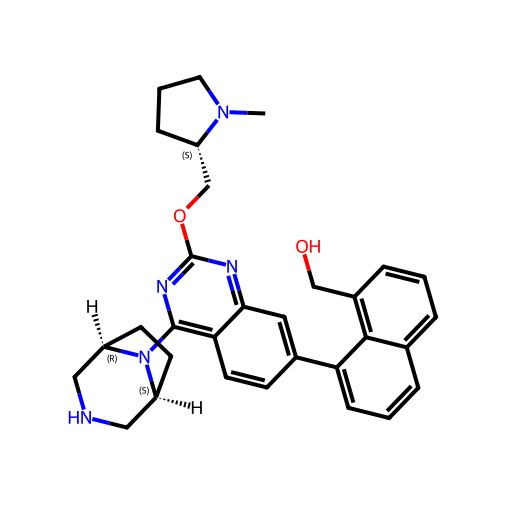 CN1CCC[C@H]1COc1nc(N2[C@@H]3CC[C@H]2CNC3)c2ccc(-c3cccc4cccc(CO)c34)cc2n1